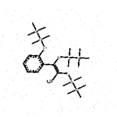 C[Si](C)(C)[Si](C)(C)OC([SiH3])=C(O[Si](C)(C)[Si](C)(C)C)c1ccccc1O[Si](C)(C)[Si](C)(C)C